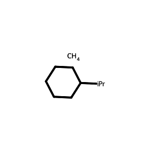 C.CC(C)C1CCCCC1